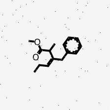 CC/C=C(/Cc1ccccc1)C(C)C(=O)OC